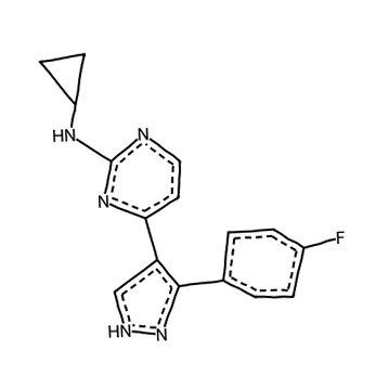 Fc1ccc(-c2n[nH]cc2-c2ccnc(NC3CC3)n2)cc1